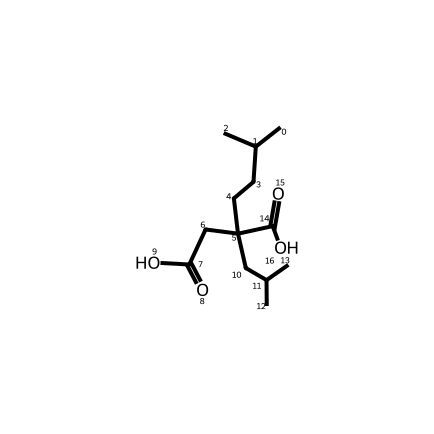 CC(C)CCC(CC(=O)O)(CC(C)C)C(=O)O